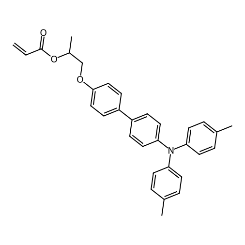 C=CC(=O)OC(C)COc1ccc(-c2ccc(N(c3ccc(C)cc3)c3ccc(C)cc3)cc2)cc1